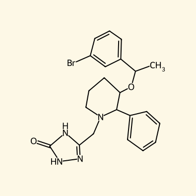 CC(OC1CCCN(Cc2n[nH]c(=O)[nH]2)C1c1ccccc1)c1cccc(Br)c1